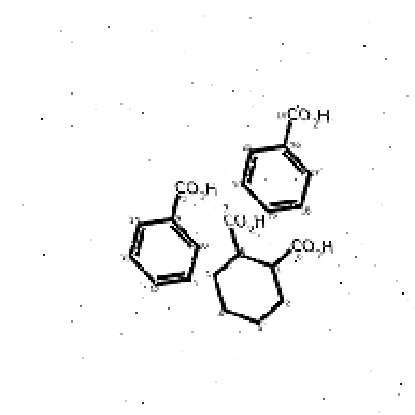 O=C(O)C1CCCCC1C(=O)O.O=C(O)c1ccccc1.O=C(O)c1ccccc1